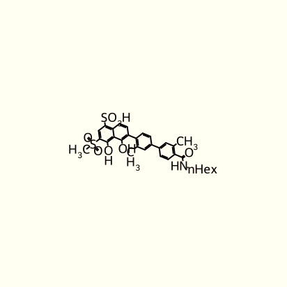 CCCCCCNC(=O)c1ccc(-c2ccc(-c3ccc4c(S(=O)(=O)O)cc(S(C)(=O)=O)c(O)c4c3O)c(C)c2)cc1C